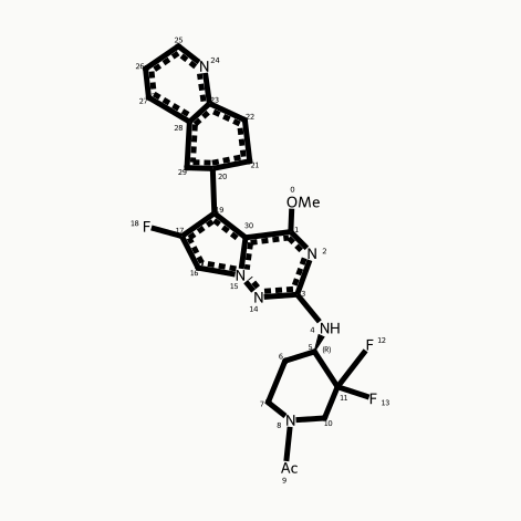 COc1nc(N[C@@H]2CCN(C(C)=O)CC2(F)F)nn2cc(F)c(-c3ccc4ncccc4c3)c12